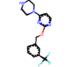 FC(F)(F)c1cccc(COc2nccc(N3CCNCC3)n2)c1